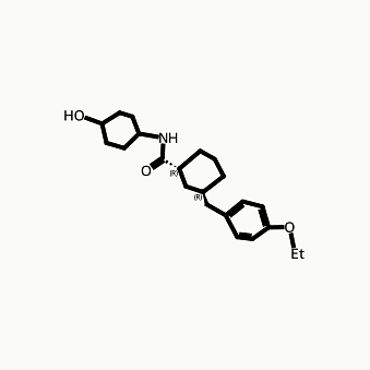 CCOc1ccc(C[C@@H]2CCC[C@@H](C(=O)NC3CCC(O)CC3)C2)cc1